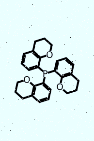 c1cc2c(c(P(c3cccc4c3OCCC4)c3cccc4c3OCCC4)c1)OCCC2